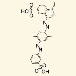 Cc1cc(/N=N/c2ccc(I)c3ccc(S(=O)(=O)O)cc23)c(C)cc1/N=N/c1cccc(S(=O)(=O)O)c1